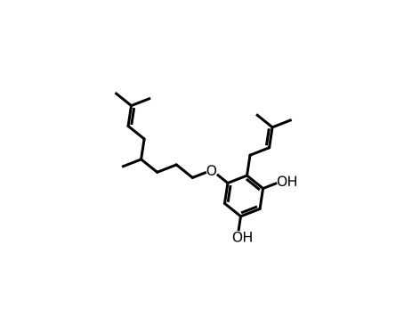 CC(C)=CCc1c(O)cc(O)cc1OCCCC(C)CC=C(C)C